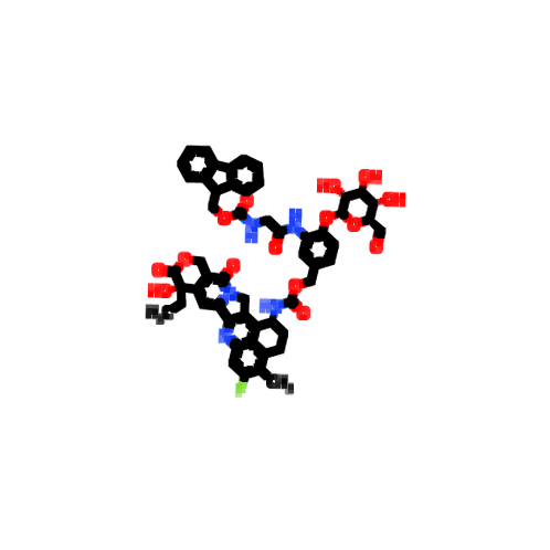 CC[C@@]1(O)C(=O)OCc2c1cc1n(c2=O)Cc2c-1nc1cc(F)c(C)c3c1c2[C@@H](NC(=O)OCc1ccc(O[C@@H]2O[C@H](C=O)[C@@H](O)[C@H](O)[C@H]2O)c(NC(=O)CNC(=O)OCC2c4ccccc4-c4ccccc42)c1)CC3